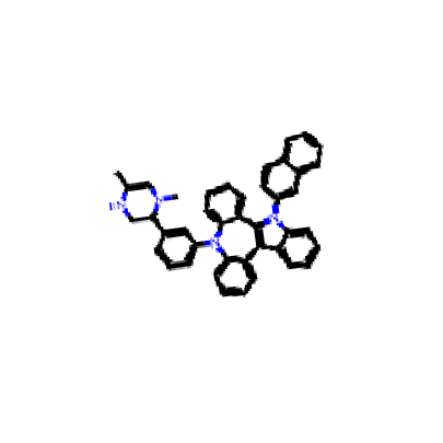 CC1=CN(C)C(c2cccc(N3c4ccccc4-c4c(n(-c5ccc6ccccc6c5)c5ccccc45)-c4ccccc43)c2)CN1